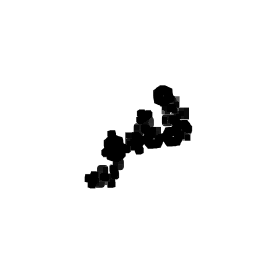 Cc1c(-c2ccc(-c3ccc4nccc(C(=O)Nc5nc6ccccc6s5)c4c3)nc2C(=O)OC(C)(C)C)cnn1CC12CC3(C)CC(C)(C1)CC(OCCN(C)C(=O)OC(C)(C)C)(C3)C2